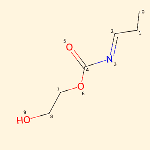 CCC=NC(=O)OCCO